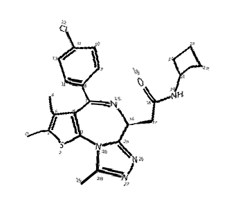 Cc1sc2c(c1C)C(c1ccc(Cl)cc1)=N[C@@H](CC(=O)NC1CCC1)c1nnc(C)n1-2